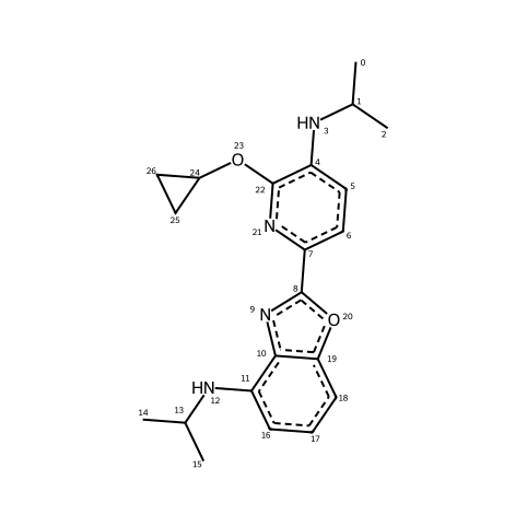 CC(C)Nc1ccc(-c2nc3c(NC(C)C)cccc3o2)nc1OC1CC1